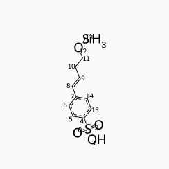 O=S(=O)(O)c1ccc(C=CCCO[SiH3])cc1